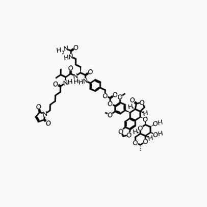 COc1cc([C@@H]2c3cc4c(cc3[C@@H](O[C@@H]3O[C@@H]5CO[C@@H](C)O[C@H]5[C@H](O)[C@H]3O)[C@H]3COC(=O)[C@H]23)OCO4)cc(OC)c1OC(=O)OCc1ccc(NC(=O)[C@H](CCCNC(N)=O)NC(=O)[C@@H](NC(=O)CCCCCN2C(=O)C=CC2=O)C(C)C)cc1